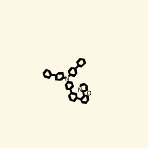 c1ccc(-c2ccc(N(c3ccc(-c4ccccc4)cc3)c3ccc(-c4cccc(-c5cccc6oc7cccnc7c56)c4)cc3)cc2)cc1